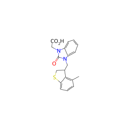 Cc1cccc2c1C(Cn1c(=O)n(CC(=O)O)c3ccccc31)CS2